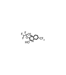 Oc1nc2cc(C(F)(F)F)ccc2nc1OC(F)(C(F)F)C(F)(F)F